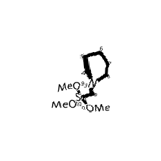 CO[Si](CN1CCCCC1)(OC)OC